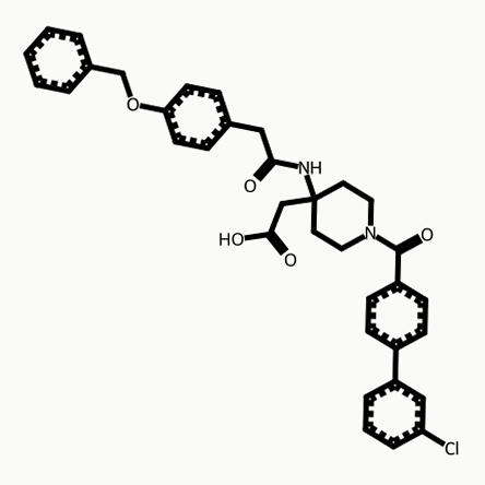 O=C(O)CC1(NC(=O)Cc2ccc(OCc3ccccc3)cc2)CCN(C(=O)c2ccc(-c3cccc(Cl)c3)cc2)CC1